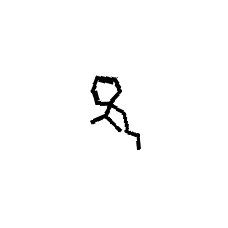 CCCCC1(C(C)C)C=CC=CC1